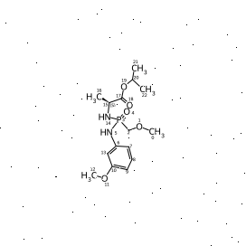 COCP(=O)(Nc1cccc(OC)c1)N[C@@H](C)C(=O)OC(C)C